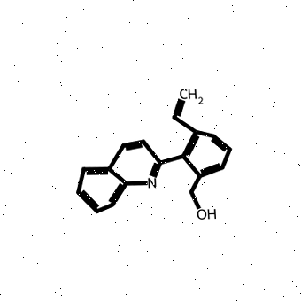 C=Cc1cccc(CO)c1-c1ccc2ccccc2n1